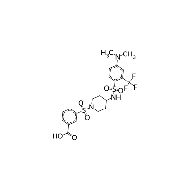 CN(C)c1ccc(S(=O)(=O)NC2CCN(S(=O)(=O)c3cccc(C(=O)O)c3)CC2)c(C(F)(F)F)c1